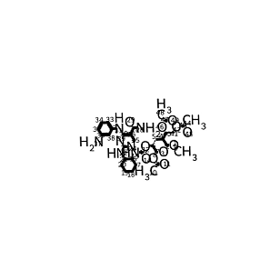 COC(=O)C(C[C@H](COC(C)=O)OC(=O)N[C@H]1CCCC[C@H]1Nc1ncc(C(N)=O)c(Nc2cccc(N)c2)n1)[C@H](COC(C)=O)OC(C)=O